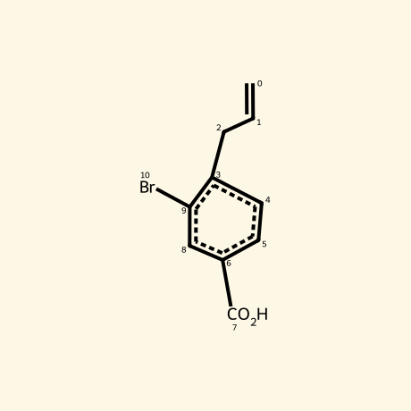 C=CCc1ccc(C(=O)O)cc1Br